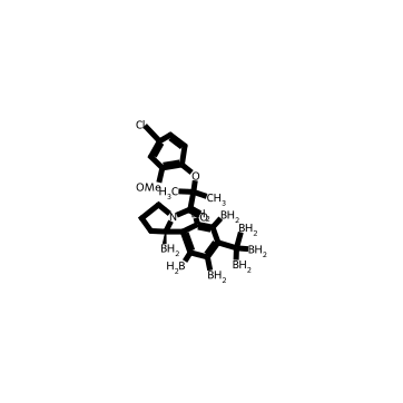 Bc1c(B)c([C@]2(B)CCCN2C(=O)C(C)(C)Oc2ccc(Cl)cc2OC)c(B)c(B)c1C(B)(B)B